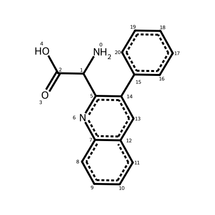 NC(C(=O)O)c1nc2ccccc2cc1-c1ccccc1